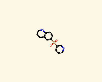 O=S(=O)(c1cccnc1)c1ccc2ncccc2c1